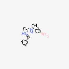 Bc1ccc(C(C)NCC2(CN[C@H]3C[C@@H]3c3ccccc3)CCC2)cc1